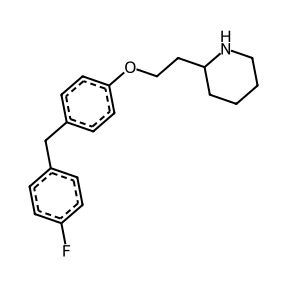 Fc1ccc(Cc2ccc(OCCC3CCCCN3)cc2)cc1